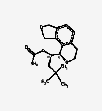 CC(C)(C)C[C@@H](OC(N)=O)[C@@H]1OCCc2ccc3c(c21)COC3